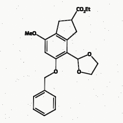 CCOC(=O)C1Cc2c(OC)cc(OCc3ccccc3)c(C3OCCO3)c2C1